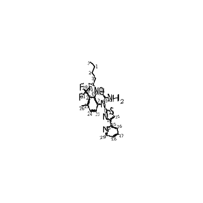 CCCCCNc1c(N(C(N)=O)c2nc(-c3ccccn3)cs2)ccc(C)c1C(F)(F)F